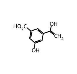 C=C(O)c1cc(O)cc(C(=O)O)c1